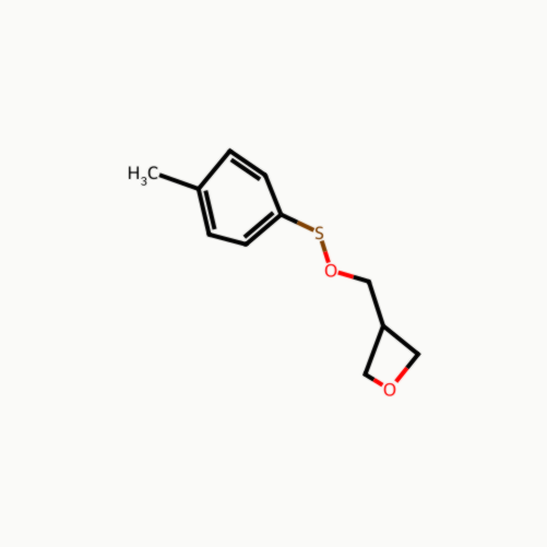 Cc1ccc(SOCC2COC2)cc1